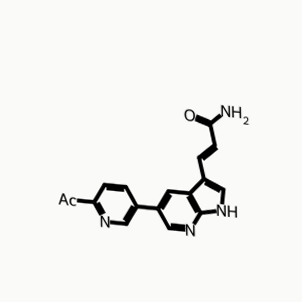 CC(=O)c1ccc(-c2cnc3[nH]cc(C=CC(N)=O)c3c2)cn1